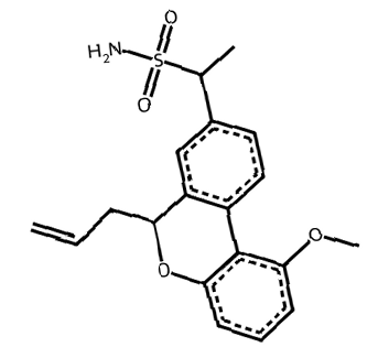 C=CCC1Oc2cccc(OC)c2-c2ccc(C(C)S(N)(=O)=O)cc21